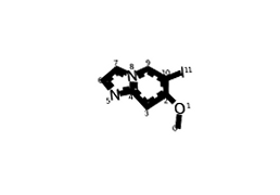 COc1cc2nccn2cc1I